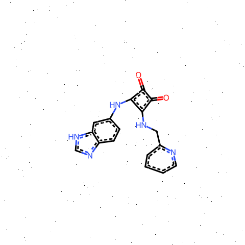 O=c1c(NCc2ccccn2)c(Nc2ccc3nc[nH]c3c2)c1=O